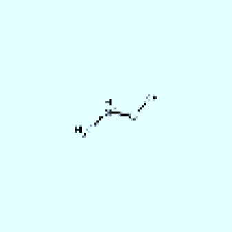 C[SiH2]O[O]